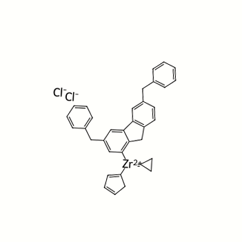 C1=CC[C]([Zr+2](=[C]2CC2)[c]2cc(Cc3ccccc3)cc3c2Cc2ccc(Cc4ccccc4)cc2-3)=C1.[Cl-].[Cl-]